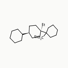 CCOC(=O)C1([C@]2(CC)CC[C@H](C3CCCCC3)CC2)CCCCC1